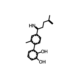 C=C(C)CCC(=N)c1ccc(-c2cccc(O)c2O)c(C)c1